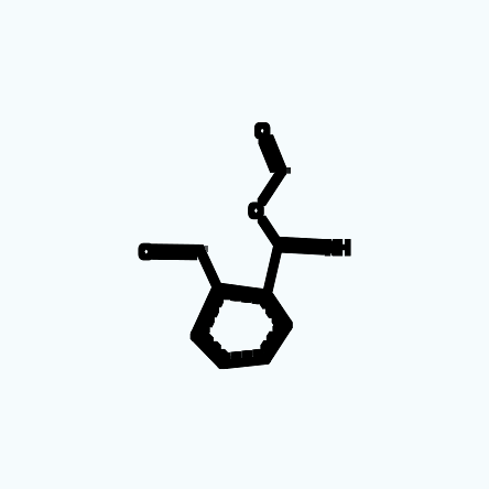 N=C(O[C]=O)c1ccccc1[C]=O